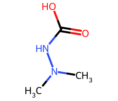 CN(C)NC(=O)O